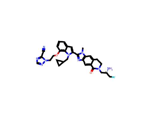 Cn1c(-c2cc3cccc(OCCn4ncnc4C#N)c3n2CC2CC2)nc2cc3c(cc21)CCN(C[C@H](N)CF)C3=O